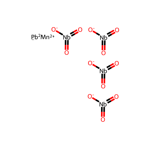 [Mn+2].[O]=[Nb](=[O])[O-].[O]=[Nb](=[O])[O-].[O]=[Nb](=[O])[O-].[O]=[Nb](=[O])[O-].[Pb+2]